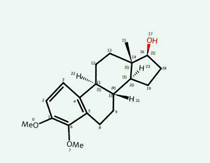 COc1ccc2c(c1OC)CC[C@@H]1[C@@H]2CC[C@]2(C)[C@@H](O)CC[C@@H]12